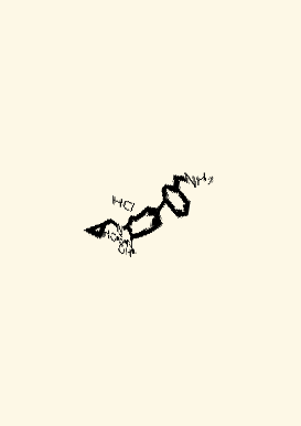 CN1c2cc(-c3cccc(CN)c3)ccc2N(CC2CC2)S1(O)O.Cl